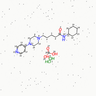 Cl.Cl.O=C(CCCCN1CCN(c2ccncc2)CC1)NC1CCCCC1.O=C(O)O